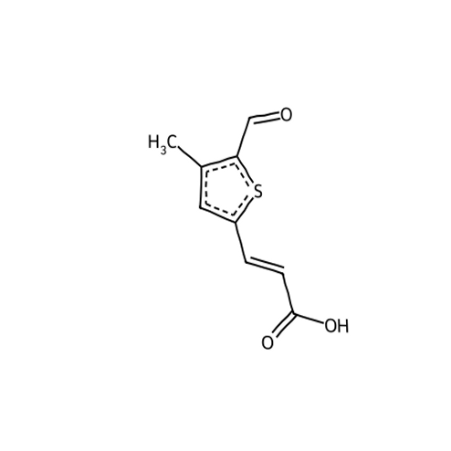 Cc1cc(/C=C/C(=O)O)sc1C=O